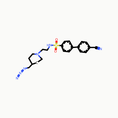 N#Cc1ccc(-c2ccc(S(=O)(=O)NCCN3CCC(CN=[N+]=[N-])CC3)cc2)cc1